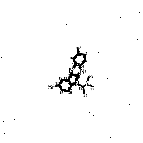 Cc1ccc2nc3c(nc2c1)c1cc(Br)ccc1n3C(C)N(C)C